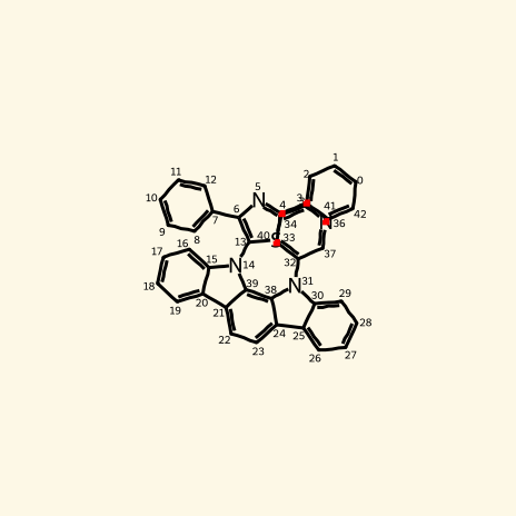 c1ccc(-c2nc(-c3ccccc3)c(-n3c4ccccc4c4ccc5c6ccccc6n(-c6cccnc6)c5c43)s2)cc1